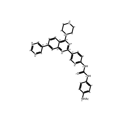 CC(=O)Nc1ccc(NC(=O)Nc2ccc(-c3nc(N4CCOCC4)c4ccc(-c5cncnc5)cc4n3)cn2)cc1